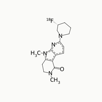 CN1CCc2c(c3ccc(N4CCC[C@@H]([18F])C4)nc3n2C)C1=O